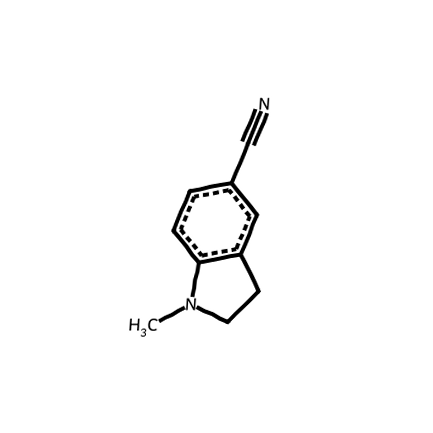 CN1CCc2cc(C#N)ccc21